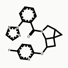 O=C(c1ccccc1-n1nccn1)N1CC2CC23CC(Oc2ccc(F)cn2)C13